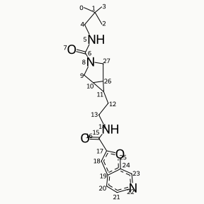 CC(C)(C)CNC(=O)N1CC2C(CCNC(=O)c3cc4ccncc4o3)C2C1